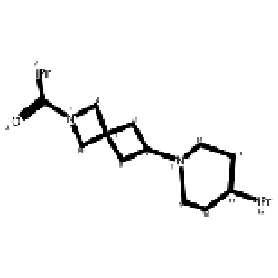 CC(C)C(=O)N1CC2(CC(N3CCC(C(C)C)CC3)C2)C1